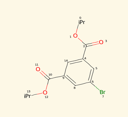 CC(C)OC(=O)c1cc(Br)cc(C(=O)OC(C)C)c1